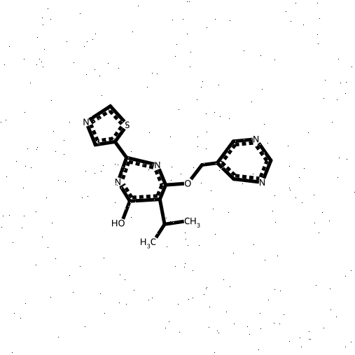 CC(C)c1c(O)nc(-c2cncs2)nc1OCc1cncnc1